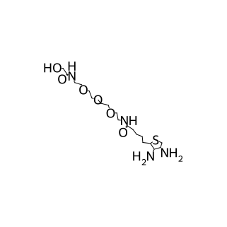 NC1CSC(CCCCC(=O)NCCOCCOCCOCCNC(=O)CO)C1N